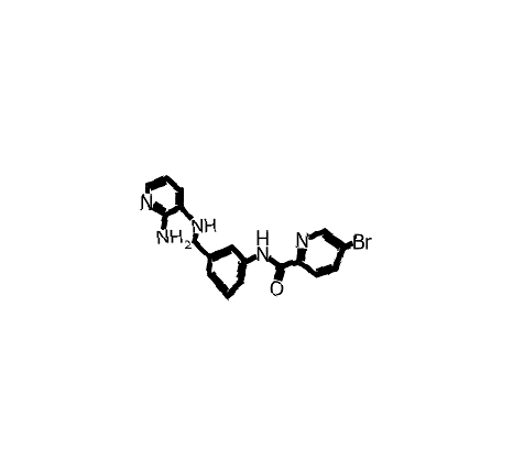 Nc1ncccc1NCc1cccc(NC(=O)c2ccc(Br)cn2)c1